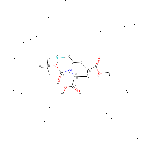 COC(=O)[C@@H](CCC[18F])C[C@H](NC(=O)OC(C)(C)C)C(=O)OC